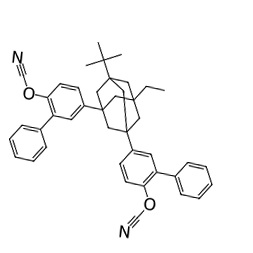 CCC12CC3(c4ccc(OC#N)c(-c5ccccc5)c4)CC(c4ccc(OC#N)c(-c5ccccc5)c4)(C1)CC(C(C)(C)C)(C2)C3